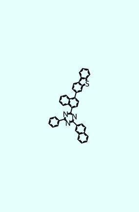 c1ccc(-c2nc(-c3ccc4ccccc4c3)nc(-c3ccc(-c4ccc5c(c4)sc4ccccc45)c4ccccc34)n2)cc1